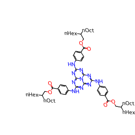 CCCCCCCCC(CCCCCC)COC(=O)c1ccc(NC2=NC3=NC(Nc4ccc(C(=O)OCC(CCCCCC)CCCCCCCC)cc4)=NC4=NC(Nc5ccc(C(=O)OCC(CCCCCC)CCCCCCCC)cc5)=NC(=N2)N34)cc1